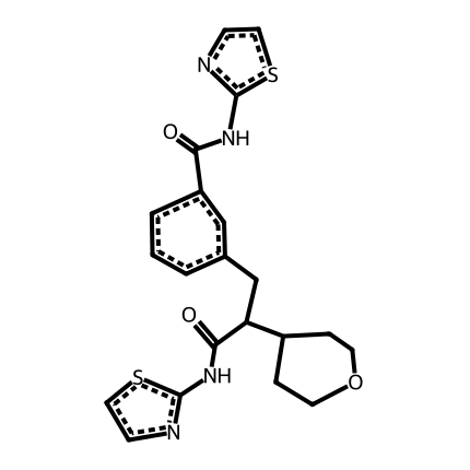 O=C(Nc1nccs1)c1cccc(CC(C(=O)Nc2nccs2)C2CCOCC2)c1